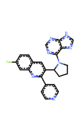 Fc1ccc2cc(C3CCCN3c3ncnc4[nH]cnc34)c(-c3ccncc3)nc2c1